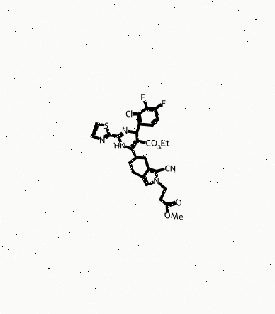 CCOC(=O)C1=C(C2CCc3cn(CCC(=O)OC)c(C#N)c3C2)NC(c2nccs2)=NC1c1ccc(F)c(F)c1Cl